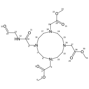 COC(=O)CN1CCN(CC(=O)NCC=O)CCN(CC(=O)OC)CCN(CC(=O)OC)CC1